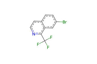 FC(F)(F)c1nccc2ccc(Br)cc12